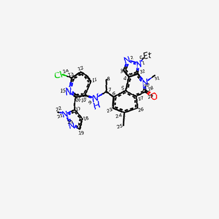 CCn1ncc2c3c(C(C)Nc4ccc(Cl)nc4-c4ccnn4C)cc(C)cc3c(=O)n(C)c21